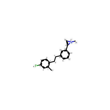 Cc1cc(F)ccc1CCc1cccc(C2=CN2C)c1